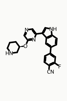 N#Cc1ccc(-c2ccc3[nH]cc(-c4cncc(O[C@@H]5CCCNC5)n4)c3c2)cc1F